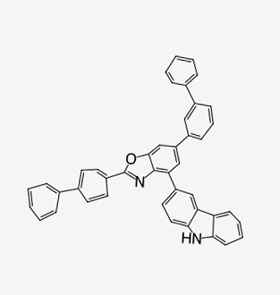 c1ccc(-c2ccc(-c3nc4c(-c5ccc6[nH]c7ccccc7c6c5)cc(-c5cccc(-c6ccccc6)c5)cc4o3)cc2)cc1